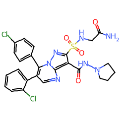 NC(=O)CNS(=O)(=O)c1nn2c(-c3ccc(Cl)cc3)c(-c3ccccc3Cl)cnc2c1C(=O)NN1CCCC1